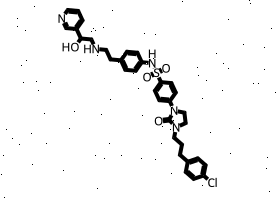 O=C1N(CCCc2ccc(Cl)cc2)CCN1c1ccc(S(=O)(=O)Nc2ccc(CCNCC(O)c3cccnc3)cc2)cc1